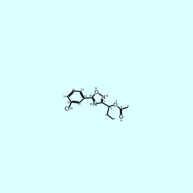 CCC(OC(C)=O)c1noc(-c2cccc(Cl)c2)n1